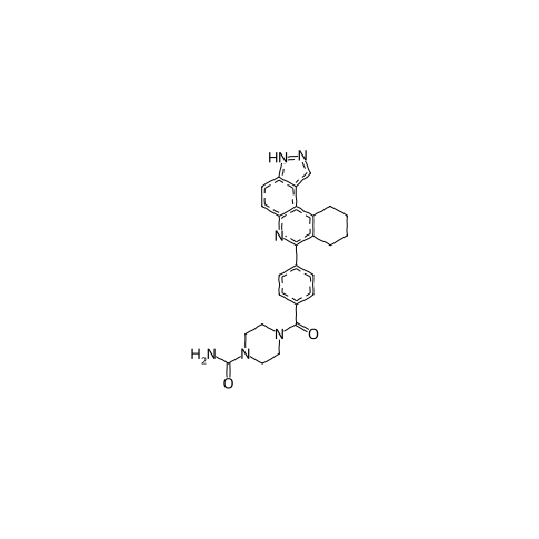 NC(=O)N1CCN(C(=O)c2ccc(-c3nc4ccc5[nH]ncc5c4c4c3CCCC4)cc2)CC1